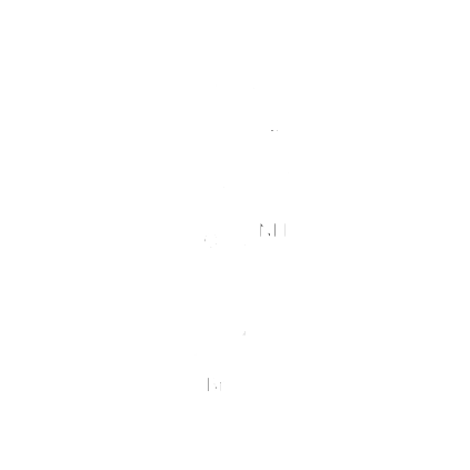 O=C(CCCCBr)Nc1ccc2ccccc2c1